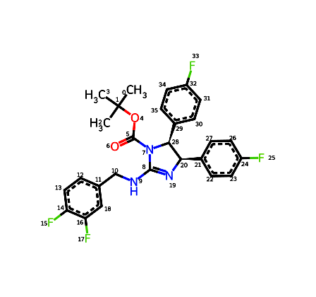 CC(C)(C)OC(=O)N1C(NCc2ccc(F)c(F)c2)=N[C@H](c2ccc(F)cc2)[C@@H]1c1ccc(F)cc1